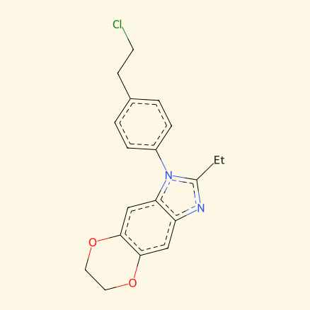 CCc1nc2cc3c(cc2n1-c1ccc(CCCl)cc1)OCCO3